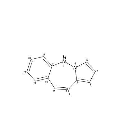 C1=Nc2cccn2Nc2ccccc21